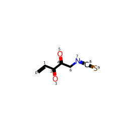 C=CC(=O)C(=O)CN=C=S